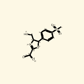 CS(=O)(=O)c1ccc(C2OC(C(Cl)Cl)=NC2CO)cc1